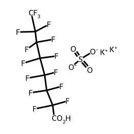 O=C(O)C(F)(F)C(F)(F)C(F)(F)C(F)(F)C(F)(F)C(F)(F)C(F)(F)F.O=S(=O)([O-])[O-].[K+].[K+]